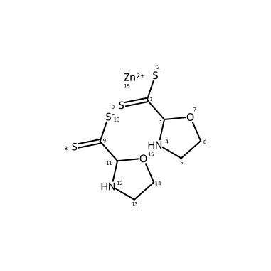 S=C([S-])C1NCCO1.S=C([S-])C1NCCO1.[Zn+2]